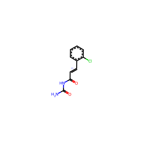 NC(=O)NC(=O)/C=C/c1ccccc1Cl